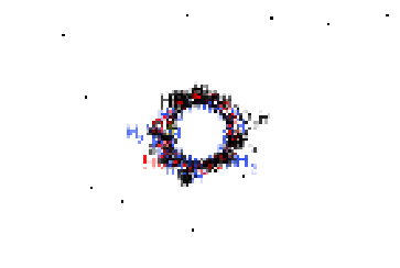 CCCC[C@H]1C(=O)N(C)CC(=O)NC(CC(=O)O)C(=O)N[C@@H](C(C)C)C(=O)N(C)[C@@H](Cc2ccccc2)C(=O)N2C[C@H](N)C[C@H]2C(=O)N2CCC[C@@H]2C(=O)N[C@@H](Cc2c[nH]c3ccccc23)C(=O)N[C@@H](Cc2ccc(O)cc2)C(=O)N[C@@H](CC(C)C)C(=O)N[C@H](C(=O)NCC(N)=O)CSCC(=O)N[C@@H](Cc2ccccc2)C(=O)N(C)[C@@H](Cc2ccccc2)C(=O)N1C